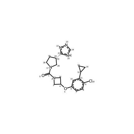 O=C(N1CC(Oc2ccc(Cl)c(C3CC3)c2)C1)N1CC[C@H](c2nnc[nH]2)C1